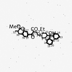 CCOC(=O)C(CCN1CCC(C(O)(c2ccccc2)c2ccccc2)CC1)C(=O)c1ccc(CC(C)C(=O)OC)cc1